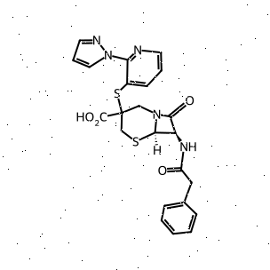 O=C(Cc1ccccc1)N[C@@H]1C(=O)N2CC(Sc3cccnc3-n3cccn3)(C(=O)O)CS[C@H]12